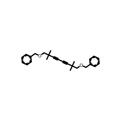 CC(C)(C#CC#CC(C)(C)COCc1ccccc1)COCc1ccccc1